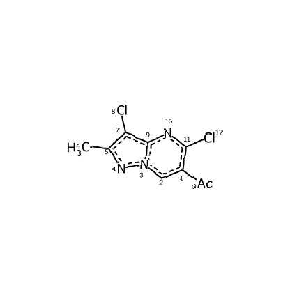 CC(=O)c1cn2nc(C)c(Cl)c2nc1Cl